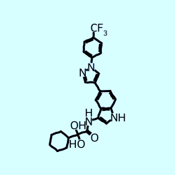 O=C(Nc1c[nH]c2ccc(-c3cnn(-c4ccc(C(F)(F)F)cc4)c3)cc12)C(O)(O)C1CCCCC1